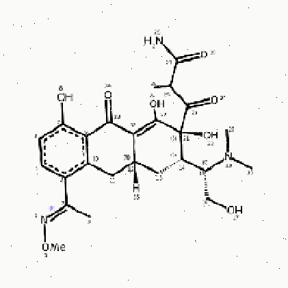 CO/N=C(\C)c1ccc(O)c2c1C[C@H]1C[C@@H]([C@@H](CO)N(C)C)[C@@](O)(C(=O)C(C)C(N)=O)C(O)=C1C2=O